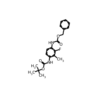 Cc1c(NC(=O)OC(C)(C)C)ccc(NC(=O)OCc2ccccc2)c1F